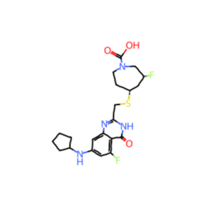 O=C(O)N1CC[C@H](SCc2nc3cc(NC4CCCC4)cc(F)c3c(=O)[nH]2)C[C@H](F)C1